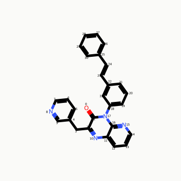 O=c1c(Cc2cccnc2)nc2cccnc2n1-c1cccc(C=Cc2ccccc2)c1